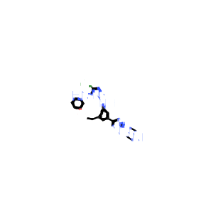 Clc1cnc2nc1Nc1cccc(c1)OCCc1cc(cc(-c3cnc(N4CCNCC4)nc3)c1)N2